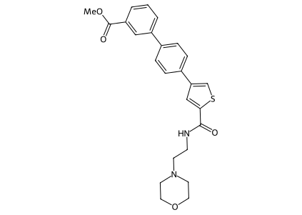 COC(=O)c1cccc(-c2ccc(-c3csc(C(=O)NCCN4CCOCC4)c3)cc2)c1